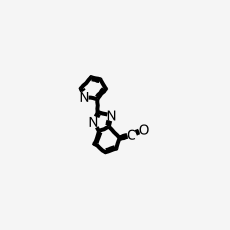 O=C=c1cccc2c1=NC(c1ccccn1)=N2